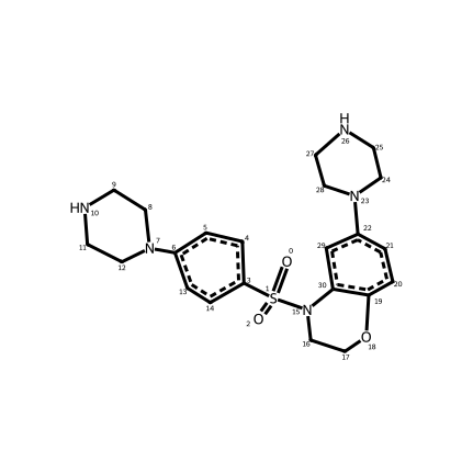 O=S(=O)(c1ccc(N2CCNCC2)cc1)N1CCOc2ccc(N3CCNCC3)cc21